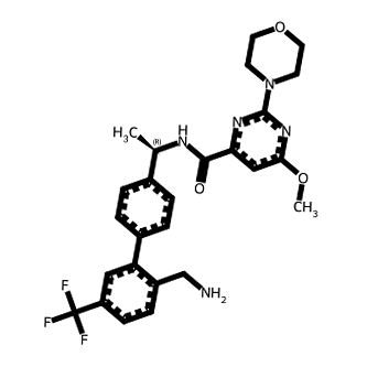 COc1cc(C(=O)N[C@H](C)c2ccc(-c3cc(C(F)(F)F)ccc3CN)cc2)nc(N2CCOCC2)n1